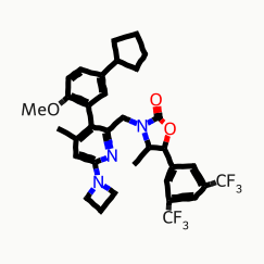 COc1ccc(C2CCCC2)cc1-c1c(C)cc(N2CCC2)nc1CN1C(=O)OC(c2cc(C(F)(F)F)cc(C(F)(F)F)c2)C1C